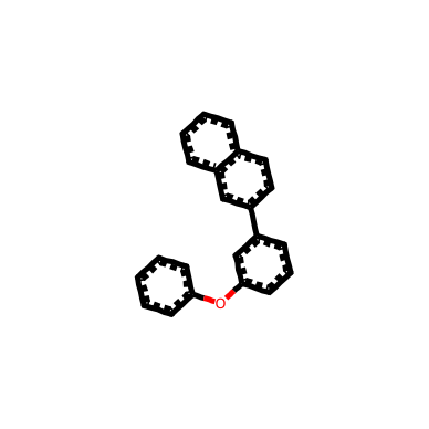 c1ccc(Oc2cccc(-c3ccc4ccccc4c3)c2)cc1